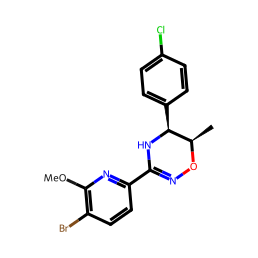 COc1nc(C2=NO[C@H](C)[C@H](c3ccc(Cl)cc3)N2)ccc1Br